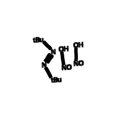 CC(C)(C)N=NC(C)(C)C.O=NO.O=NO